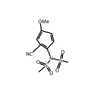 COc1ccc(N(S(C)(=O)=O)S(C)(=O)=O)c(C#N)c1